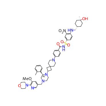 COc1cc(CN2CCN(C3CC4(CCN(c5ccc(C(=O)NS(=O)(=O)c6ccc(NC[C@H]7CC[C@](C)(O)CC7)c([N+](=O)[O-])c6)cc5)CC4)C3)[C@H](c3ccccc3C)C2)cnc1N1CCOCC1